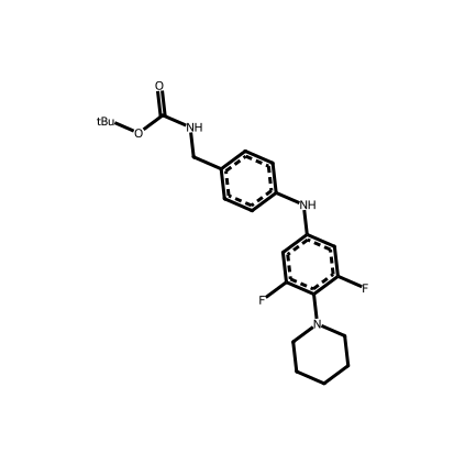 CC(C)(C)OC(=O)NCc1ccc(Nc2cc(F)c(N3CCCCC3)c(F)c2)cc1